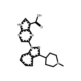 CN1CCC(c2nn(-c3cnc4[nH]cc(C(=O)O)c4n3)c3ccccc23)CC1